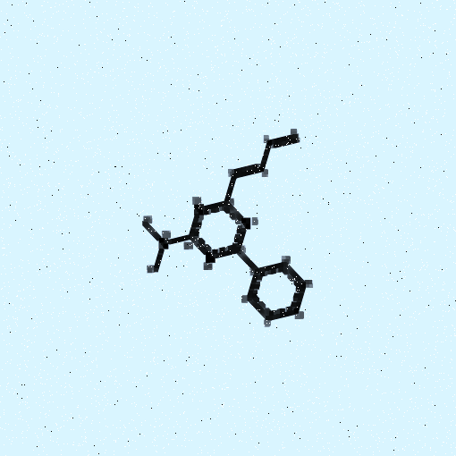 C=CC=Cc1nc(-c2ccccc2)nc(N(C)C)n1